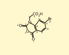 O=C(O)Cn1c(=O)oc(=O)c2ccc(Br)cc21